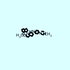 COc1cccc2c1C(n1c(=O)ccc3ccc(Nc4ccc(N5CCN(C)CC5)cc4)cc31)CC2